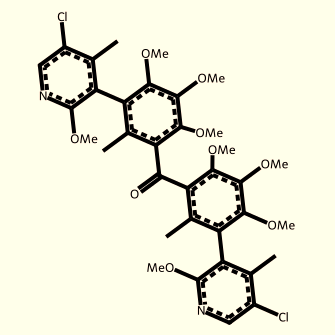 COc1ncc(Cl)c(C)c1-c1c(C)c(C(=O)c2c(C)c(-c3c(OC)ncc(Cl)c3C)c(OC)c(OC)c2OC)c(OC)c(OC)c1OC